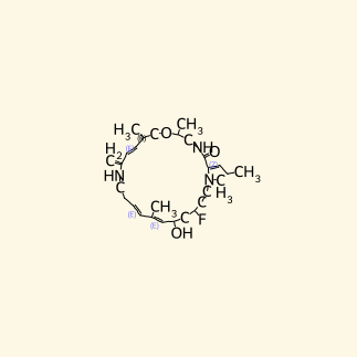 C=C1/C=C/[C@@H](C)COC(C)CNC(=O)/C(=C/CC)N(C)CCC(F)CC(O)/C=C(C)/C=C/CCN1